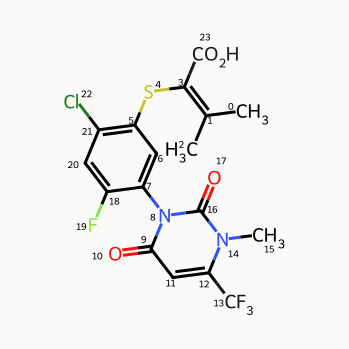 CC(C)=C(Sc1cc(-n2c(=O)cc(C(F)(F)F)n(C)c2=O)c(F)cc1Cl)C(=O)O